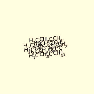 CC(C)(C)O[Si](CCCC[Si](OC(C)(C)C)(OC(C)(C)C)OC(C)(C)C)(OC(C)(C)C)OC(C)(C)C